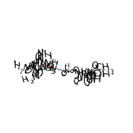 CC(=O)CC[C@@H](NC(=O)N[C@H](CCCCN(Cc1nccc2ccccc12)C(=O)c1ccc(CNC(=O)CCCCCC(=S)Nc2ccc(CC3CN(CC(N)=O)CCN(CC(N)=O)CCN(CC(N)=O)CCN3CC(N)=O)cc2)cc1)C(=O)O)C(=O)O